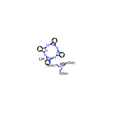 CCCCCCCCCCCC[N+](CCCC)(CCCCCCCCCCCC)CCCCCCCCCCCC.[LiH].c1ccc2c(c1)-c1nc-2nc2[nH]c(nc3nc(nc4[nH]c(n1)c1ccccc41)-c1ccccc1-3)c1ccccc21